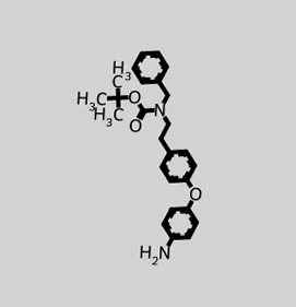 CC(C)(C)OC(=O)N(CCc1ccc(Oc2ccc(N)cc2)cc1)Cc1ccccc1